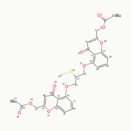 CC(C)(C)C(=O)OCc1cc(=O)c2c(OCC(COc3cccc4oc(COC(=O)C(C)(C)C)cc(=O)c34)SF)cccc2o1